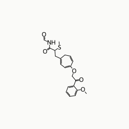 COc1ccccc1C(=O)COC1=CC=C(CC(SC)C(=O)NC=O)CC=C1